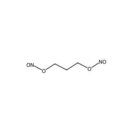 O=NOCCCON=O